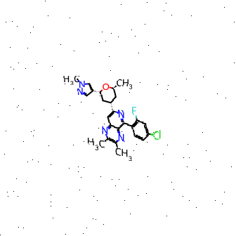 Cc1nc2cc([C@H]3C[C@H](C)O[C@@H](c4cnn(C)c4)C3)nc(-c3ccc(Cl)cc3F)c2nc1C